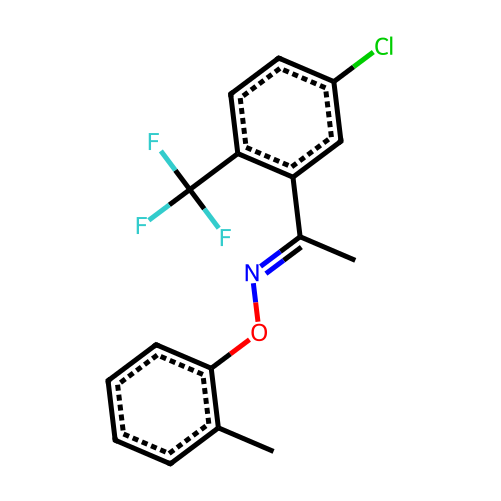 C/C(=N\Oc1ccccc1C)c1cc(Cl)ccc1C(F)(F)F